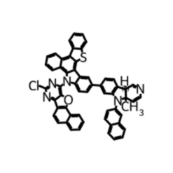 CC12C=CN=C[C@@H]1c1ccc(-c3ccc4c(c3)c3c5sc6ccccc6c5c5ccccc5c3n4-c3nc(Cl)nc4c3oc3c5ccccc5ccc43)cc1N2c1ccc2ccccc2c1